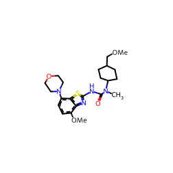 COCC1CCC(N(C)C(=O)Nc2nc3c(OC)ccc(N4CCOCC4)c3s2)CC1